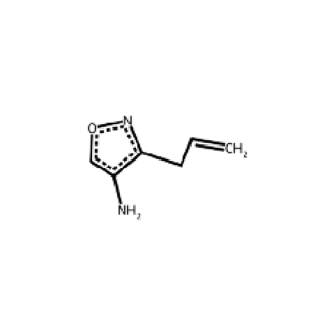 C=CCc1nocc1N